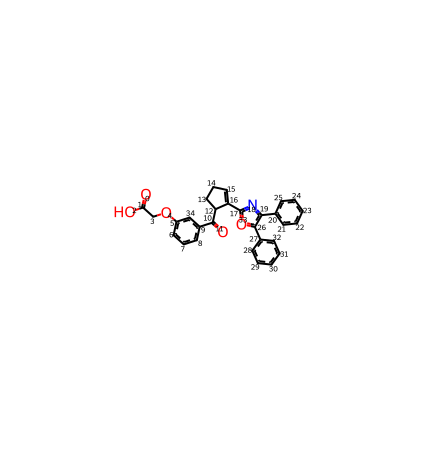 O=C(O)COc1cccc(C(=O)C2CCC=C2c2nc(-c3ccccc3)c(-c3ccccc3)o2)c1